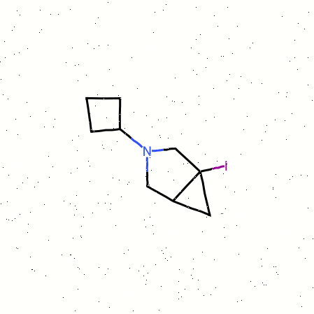 IC12CC1CN(C1CCC1)C2